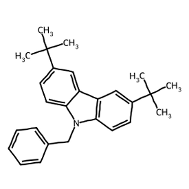 CC(C)(C)c1ccc2c(c1)c1cc(C(C)(C)C)ccc1n2Cc1ccccc1